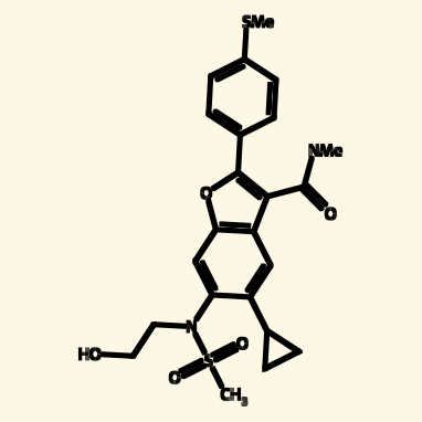 CNC(=O)c1c(-c2ccc(SC)cc2)oc2cc(N(CCO)S(C)(=O)=O)c(C3CC3)cc12